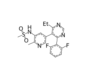 CCc1ncnc(-c2c(F)cccc2F)c1-c1cnc(C)c(NS(C)(=O)=O)c1